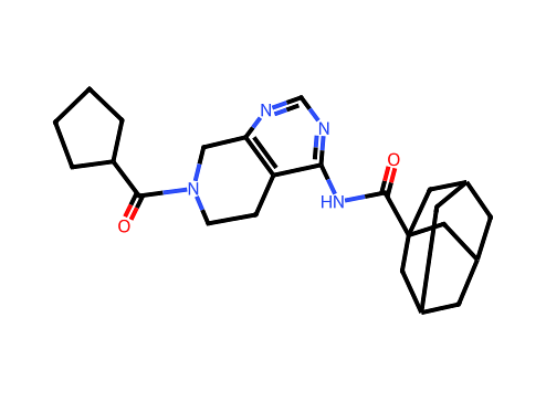 O=C(C1CCCC1)N1CCc2c(ncnc2NC(=O)C23CC4CC(CC(C4)C2)C3)C1